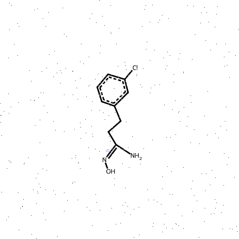 N/C(CCc1cccc(Cl)c1)=N\O